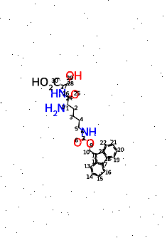 N[C@@H](CCCCNC(=O)OCC1c2ccccc2-c2ccccc21)C(=O)N[C@@H](CO)C(=O)O